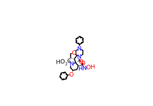 O=C(NO)[C@H]1C[C@H](Oc2ccccc2)CN(C(=O)O)[C@@]1(C(=O)N1CCN(c2ccccc2)CC1)[C@@H]1CCOC1